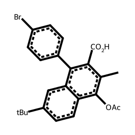 CC(=O)Oc1c(C)c(C(=O)O)c(-c2ccc(Br)cc2)c2cc(C(C)(C)C)ccc12